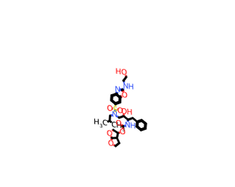 CC(C)CN(CC(O)C(Cc1ccccc1)NC(=O)OC1COC2OCCC12)S(=O)(=O)c1ccc2nc(NCCO)oc2c1